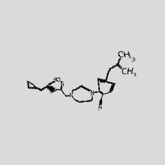 CC(C)Cc1ccc(C#N)c(N2CCN(Cc3cc(C4CC4)on3)CC2)c1